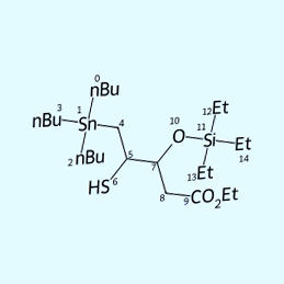 CCC[CH2][Sn]([CH2]CCC)([CH2]CCC)[CH2]C(S)C(CC(=O)OCC)O[Si](CC)(CC)CC